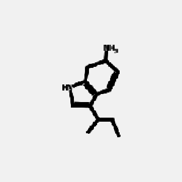 CCC(C)c1c[nH]c2c1C=CC(N)C2